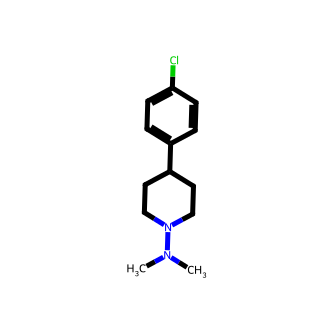 CN(C)N1CCC(c2ccc(Cl)cc2)CC1